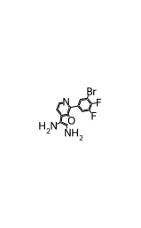 Nc1oc2c(-c3cc(F)c(F)c(Br)c3)nccc2c1N